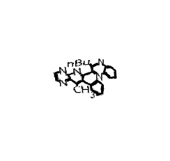 CCCCc1nc2ccccc2nc1-c1nc2nccnc2c(C)c1-c1ccccc1